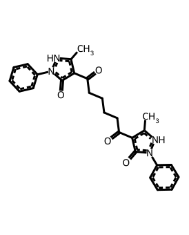 Cc1[nH]n(-c2ccccc2)c(=O)c1C(=O)CCCCC(=O)c1c(C)[nH]n(-c2ccccc2)c1=O